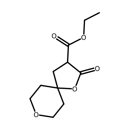 CCOC(=O)C1CC2(CCOCC2)OC1=O